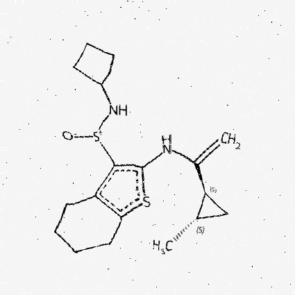 C=C(Nc1sc2c(c1[S+]([O-])NC1CCC1)CCCC2)[C@H]1C[C@@H]1C